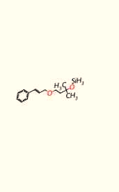 CC(C)(CCOCC=Cc1ccccc1)O[SiH3]